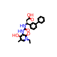 CCn1cc(C)c(O)c(NC(=O)N[C@@H](CC(=O)O)c2cccc(-c3ccccc3)c2)c1=O